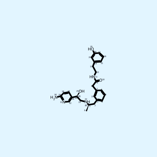 C[C@H](Cc1cccc(CC(=O)NCCc2cccc(O)c2)c1)NC[C@H](O)c1ccc(N)nc1